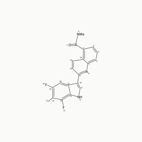 CNC(=O)c1cccc2nc(-c3c[nH]c4c(F)c(C)c(F)cc34)ccc12